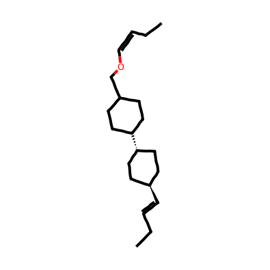 CC/C=C\OCC1CCC([C@H]2CC[C@H](/C=C/CC)CC2)CC1